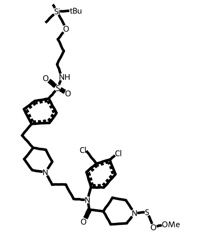 COOSN1CCC(C(=O)N(CCCN2CCC(Cc3ccc(S(=O)(=O)NCCCO[Si](C)(C)C(C)(C)C)cc3)CC2)c2ccc(Cl)c(Cl)c2)CC1